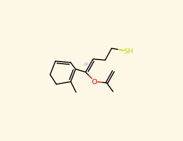 C=C(C)O/C(=C\CCS)C1=C(C)CCC=C1